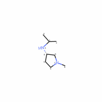 CC(C)N[C@H]1CCN(C)C1